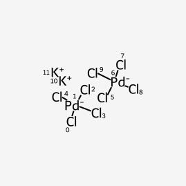 [Cl][Pd-]([Cl])([Cl])[Cl].[Cl][Pd-]([Cl])([Cl])[Cl].[K+].[K+]